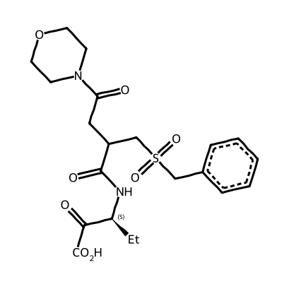 CC[C@H](NC(=O)C(CC(=O)N1CCOCC1)CS(=O)(=O)Cc1ccccc1)C(=O)C(=O)O